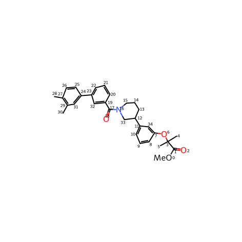 COC(=O)C(C)(C)Oc1cccc(C2CCCN(C(=O)c3cccc(-c4ccc(C)c(C)c4)c3)C2)c1